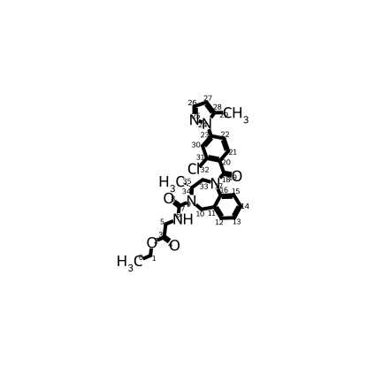 CCOC(=O)CNC(=O)N1Cc2ccccc2N(C(=O)c2ccc(-n3nccc3C)cc2Cl)C[C@H]1C